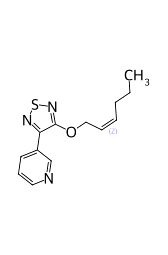 CCC/C=C\COc1nsnc1-c1cccnc1